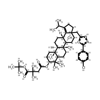 CC(C)C1=C2[C@H]3CC[C@@H]4[C@@]5(C)CC[C@H](OC(=O)CC(C)(C)C(=O)OC(C)(C)C)C(C)(C)[C@@H]5CC[C@@]4(C)[C@]3(C)CCC2(Cc2nnc(-c3ccc(Cl)cc3)o2)CC1